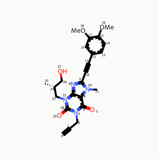 C#CCn1c(=O)c2c(nc(C#Cc3ccc(OC)c(OC)c3)n2C)n(C[C@H](C)CO)c1=O